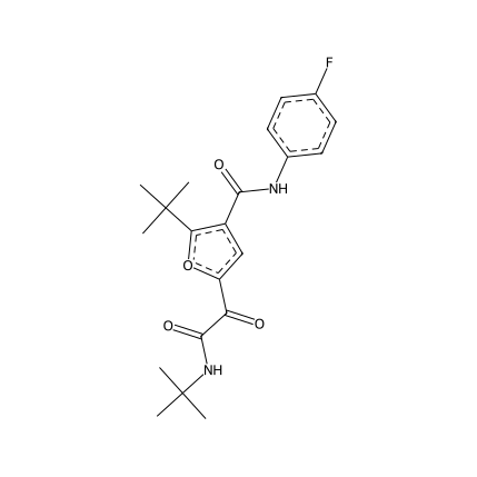 CC(C)(C)NC(=O)C(=O)c1cc(C(=O)Nc2ccc(F)cc2)c(C(C)(C)C)o1